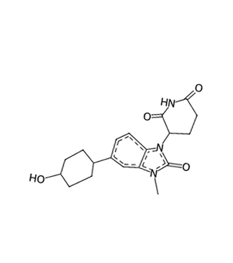 Cn1c(=O)n(C2CCC(=O)NC2=O)c2ccc(C3CCC(O)CC3)cc21